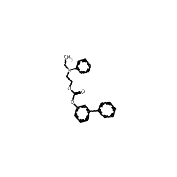 CCN(CCOC(=O)Oc1cccc(-c2ccccc2)c1)c1ccccc1